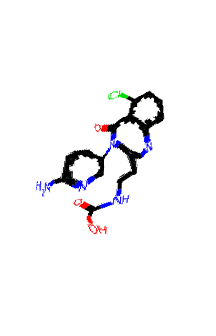 Nc1ccc(-n2c(CCNC(=O)O)nc3cccc(Cl)c3c2=O)cn1